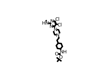 CNc1nc(Cl)c(Cl)c(N2CCN(CCC3CCC(NC(=O)OC(C)(C)C)CC3)CC2)n1